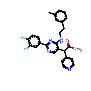 Cc1cccc(CCNc2nc(-c3ccc(F)c(F)c3)ncc2C(C(N)=O)c2ccncc2)c1